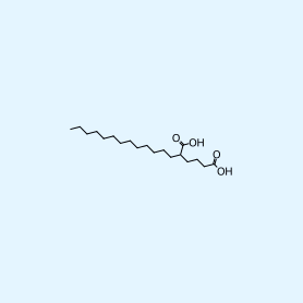 CCCCCCCCCCCCCC(CCCC(=O)O)C(=O)O